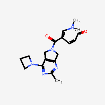 Cc1nc2c(c(N3CCC3)n1)CN(C(=O)C(/C=C\C=O)=C/N(C)C)C2